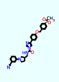 CS(=O)(=O)c1ccc(COc2ccc(-c3cn(C(=O)NCC4CCN(c5cccc(C#N)c5)C4)cn3)cc2)cc1